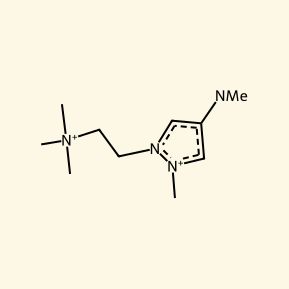 CNc1cn(CC[N+](C)(C)C)[n+](C)c1